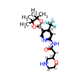 CC1(C)OB(c2cnc(NC(=O)CC3CNCCO3)cc2C(F)(F)F)OC1(C)C